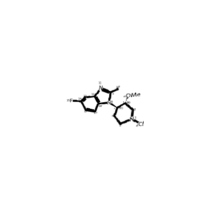 CO[C@@H]1CN(Cl)CC[C@H]1n1c(C)nc2cc(F)ccc21